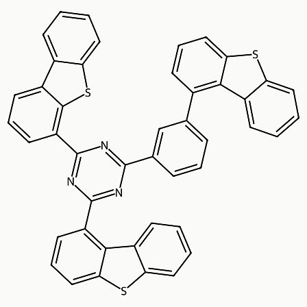 c1cc(-c2nc(-c3cccc4c3sc3ccccc34)nc(-c3cccc4sc5ccccc5c34)n2)cc(-c2cccc3sc4ccccc4c23)c1